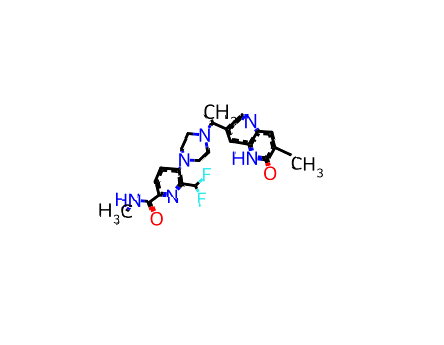 CCc1cc2ncc(C(C)N3CCN(c4ccc(C(=O)NC)nc4C(F)F)CC3)cc2[nH]c1=O